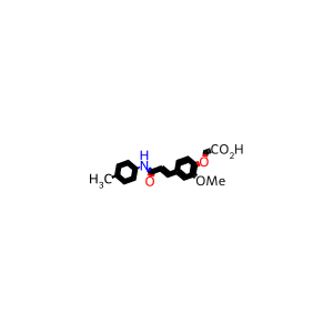 COc1cc(C=CC(=O)N[C@H]2CC[C@H](C)CC2)ccc1OCC(=O)O